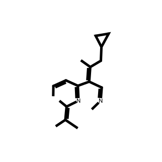 C\C=C/C(=N\C(C)=C(C)C)C(/C=N\C)=C(\C)CC1CC1